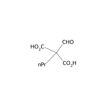 CCCC(C=O)(C(=O)O)C(=O)O